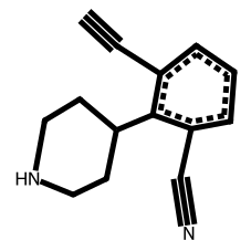 C#Cc1cccc(C#N)c1C1CCNCC1